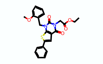 CCOC(=O)Cn1c(=O)c2cc(-c3ccccc3)sc2n(Cc2ccccc2OC)c1=O